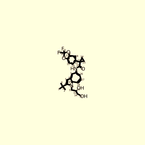 CC(C)(C)C1=CC2=CC(NC(=O)C3(c4ccc5c(c4)OC(F)(F)O5)CC3)=CC#CC2N1C[C@@H](O)CO